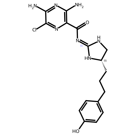 Nc1nc(N)c(C(=O)/N=C2\NC[C@H](CCCc3ccc(O)cc3)N2)nc1Cl